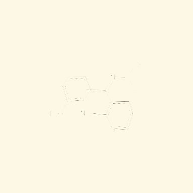 CC(C)COc1cccc(/C(=N/[S+]([O-])C(C)(C)C)c2cccnc2C#N)c1